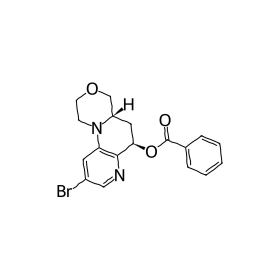 O=C(O[C@@H]1C[C@H]2COCCN2c2cc(Br)cnc21)c1ccccc1